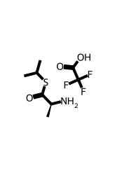 CC(C)SC(=O)[C@H](C)N.O=C(O)C(F)(F)F